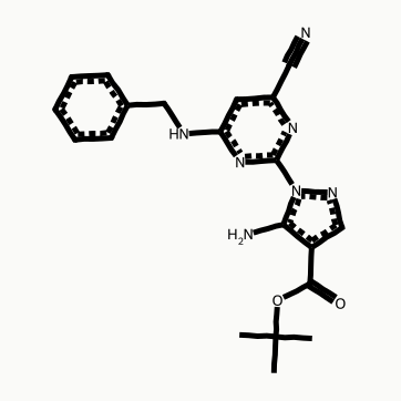 CC(C)(C)OC(=O)c1cnn(-c2nc(C#N)cc(NCc3ccccc3)n2)c1N